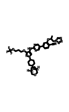 CC(Cn1cnnn1)Oc1cc(-c2cnc(Nc3cn(C4CCC(N5[C@@H]6CC[C@H]5COC6)CC4)nc3OCCCOC(F)(F)F)nc2)ccc1C#N